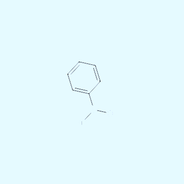 CC(C)[S+]([O-])c1cc[c]cc1